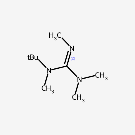 C/N=C(/N(C)C)N(C)C(C)(C)C